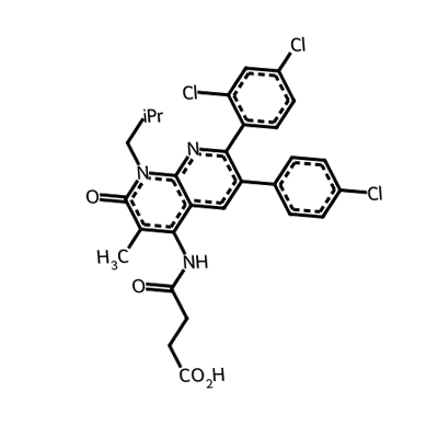 Cc1c(NC(=O)CCC(=O)O)c2cc(-c3ccc(Cl)cc3)c(-c3ccc(Cl)cc3Cl)nc2n(CC(C)C)c1=O